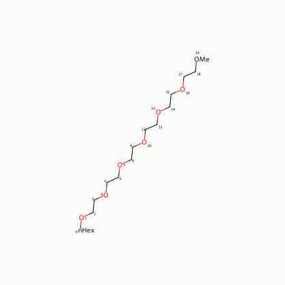 CCCCCCOCCOCCOCCOCCOCCOCCOC